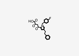 O=C(O)C(=O)CC(=O)c1cc(CCc2ccccc2)cn1Cc1ccc(F)cc1